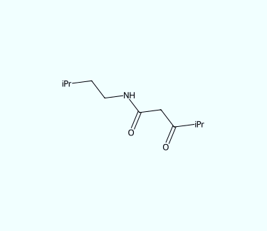 CC(C)CCNC(=O)CC(=O)C(C)C